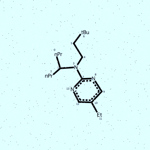 CCCC(CCC)N(CCC(C)(C)C)c1ncc(CC)cn1